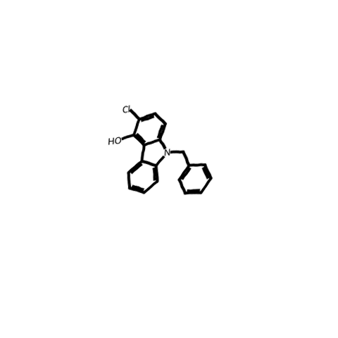 Oc1c(Cl)ccc2c1c1ccccc1n2Cc1ccccc1